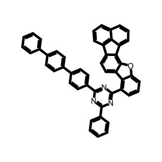 c1ccc(-c2ccc(-c3ccc(-c4nc(-c5ccccc5)nc(-c5cccc6oc7c8c(ccc7c56)-c5cccc6cccc-8c56)n4)cc3)cc2)cc1